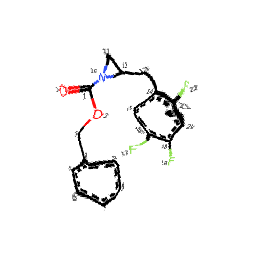 O=C(OCc1ccccc1)N1CC1Cc1cc(F)c(F)cc1F